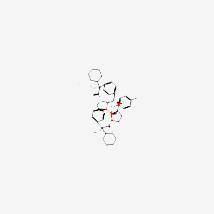 NC(=O)C1CCN2C(=O)C(NC(=O)O)(C3CCCCC3)c3ccc(cc3)CC12N(c1ccc(F)cc1)[C@@]12Cc3ccc(cc3)[C@@](NC(=O)O)(C3CCCCC3)C(=O)N1CCC2C(N)=O